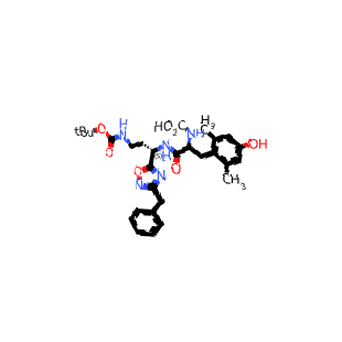 Cc1cc(O)cc(C)c1CC(NC(=O)O)C(=O)N[C@@H](CCNC(=O)OC(C)(C)C)c1nc(Cc2ccccc2)no1